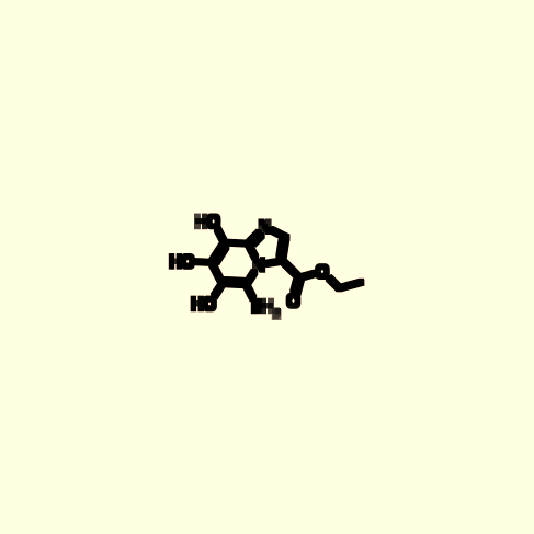 Bc1c(O)c(O)c(O)c2ncc(C(=O)OCC)n12